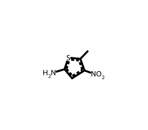 Cc1sc(N)cc1[N+](=O)[O-]